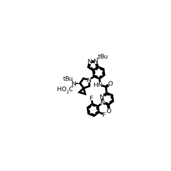 CC(C)(C)N(C(=O)O)[C@H]1CN(c2c(NC(=O)c3ccc(=O)n(-c4c(F)cccc4F)n3)ccc3c2cnn3C(C)(C)C)CC12CC2